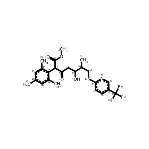 COC(=O)C(C(=O)CC(O)C(C)CSc1ccc(C(F)(F)F)cn1)c1c(C)cc(C)cc1C